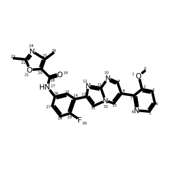 COc1cccnc1-c1cnc2nc(-c3cc(NC(=O)c4oc(C)nc4C)ccc3F)cn2c1